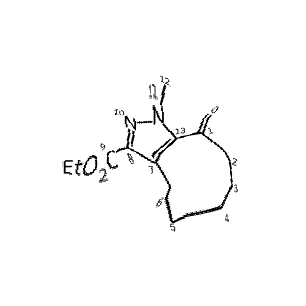 C=C1CCCCCc2c(C(=O)OCC)nn(C)c21